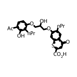 CCCc1cc2c(=O)cc(C(=O)O)sc2cc1OCC(O)COc1ccc(C(C)=O)c(O)c1CCC